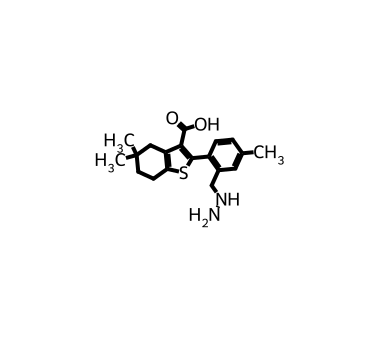 Cc1ccc(-c2sc3c(c2C(=O)O)CC(C)(C)CC3)c(CNN)c1